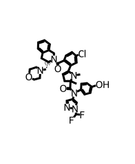 CN1C(c2cc(Cl)ccc2C(=O)N2Cc3ccccc3C[C@H]2CN2CCOCC2)=CCC1(C)C(=O)N(c1ccc(O)cc1)c1cnn(C(F)F)c1